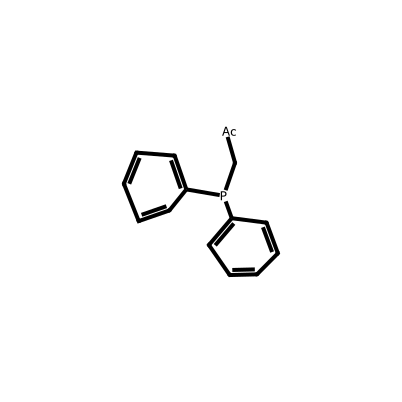 CC(=O)CP(c1ccccc1)c1ccccc1